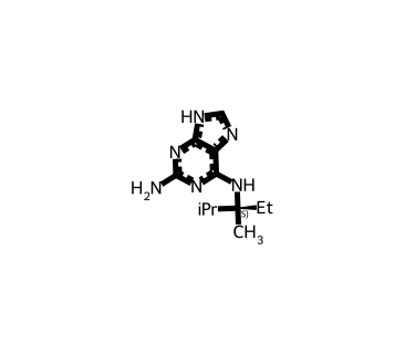 CC[C@](C)(Nc1nc(N)nc2[nH]cnc12)C(C)C